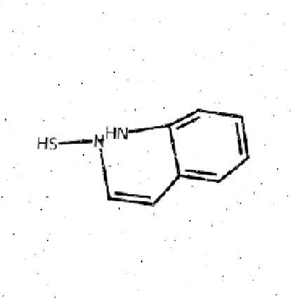 SN1C=Cc2ccccc2N1